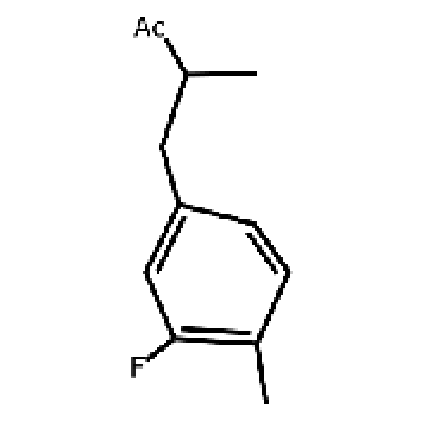 CC(=O)C(C)Cc1ccc(C)c(F)c1